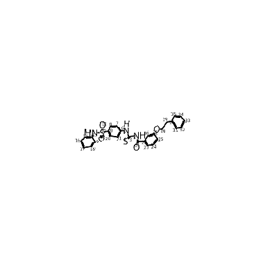 O=C(NC(=S)Nc1ccc(S(=O)(=O)Nc2ccccc2)cc1)c1cccc(OCCc2ccccc2)c1